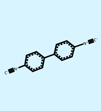 [C-]#[N+]c1ccc(-c2ccc([N+]#[C-])cc2)cc1